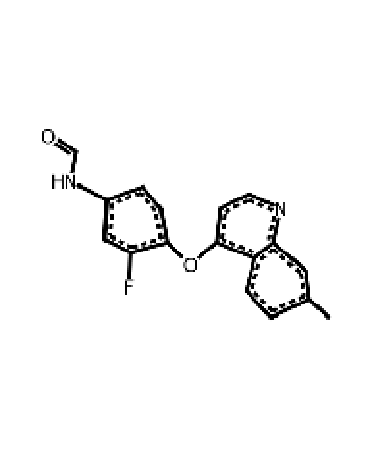 Cc1ccc2c(Oc3ccc(NC=O)cc3F)ccnc2c1